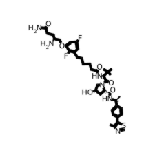 Cc1ncsc1-c1ccc([C@H](C)NC(=O)[C@@H]2C[C@@H](O)CN2C(=O)[C@@H](NC(=O)CCCCCc2cc(F)cc(OC[C@@H](N)CCC(N)=O)c2F)C(C)(C)C)cc1